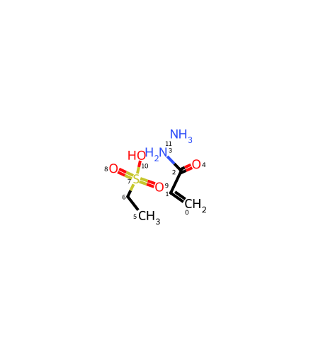 C=CC(N)=O.CCS(=O)(=O)O.N